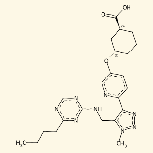 CCCCc1ncnc(NCc2c(-c3ccc(O[C@H]4CCC[C@H](C(=O)O)C4)cn3)nnn2C)n1